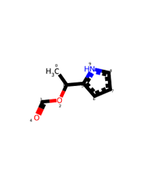 CC(O[C]=O)c1ccc[nH]1